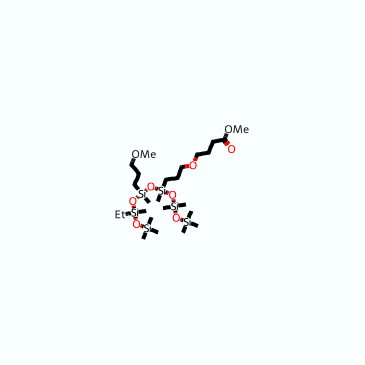 CC[Si](C)(O[Si](C)(C)C)O[Si](C)(CCCOC)O[Si](C)(CCCOCCCC(=O)OC)O[Si](C)(C)O[Si](C)(C)C